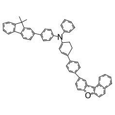 CC1(C)c2ccccc2-c2ccc(-c3ccc(N(C4=CC=C(c5ccc(-c6ccc7oc8ccc9ccccc9c8c7c6)cc5)CC4)c4ccccc4)cc3)cc21